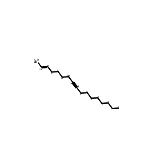 CCCCCCCCC#CCCCCC=CBr